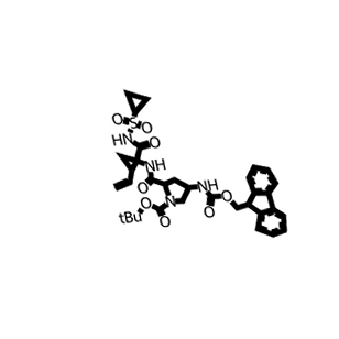 C=CC1CC1(NC(=O)C1CC(NC(=O)OCC2c3ccccc3-c3ccccc32)CN1C(=O)OC(C)(C)C)C(=O)NS(=O)(=O)C1CC1